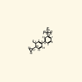 CC1C=C(c2cccc(C(F)(F)F)c2)C=CC1C1CC1